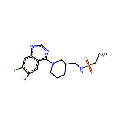 N#Cc1cc2c(N3CCCC(CNS(=O)(=O)CC(=O)O)C3)ncnc2cc1F